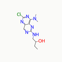 CCC(O)CNc1ncc2nc(Cl)nc(N(C)C)c2n1